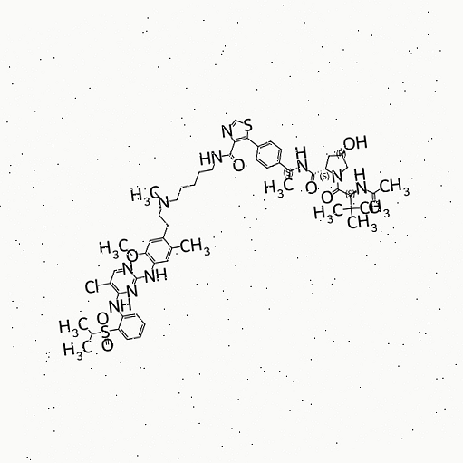 COc1cc(CCN(C)CCCCCNC(=O)c2ncsc2-c2ccc([C@H](C)NC(=O)[C@@H]3C[C@@H](O)CN3C(=O)[C@@H](NC(C)=O)C(C)(C)C)cc2)c(C)cc1Nc1ncc(Cl)c(Nc2ccccc2S(=O)(=O)C(C)C)n1